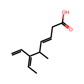 C=CC(=CC)C(C)C=CCC(=O)O